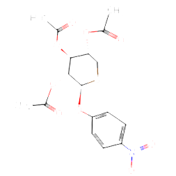 CC(=O)O[C@@H]1[C@@H](OC(C)=O)[C@H](OC(C)=O)CS[C@H]1Oc1ccc([N+](=O)[O-])cc1